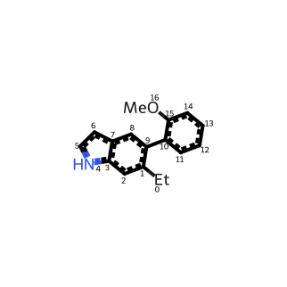 CCc1cc2[nH]ccc2cc1-c1ccccc1OC